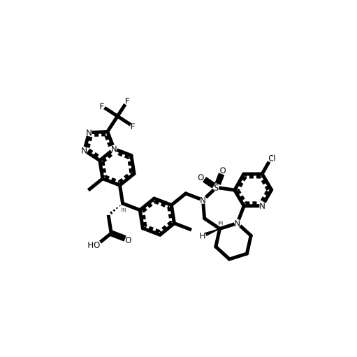 Cc1ccc([C@H](CC(=O)O)c2ccn3c(C(F)(F)F)nnc3c2C)cc1CN1C[C@H]2CCCCN2c2ncc(Cl)cc2S1(=O)=O